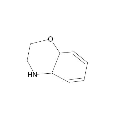 C1=CC2NCCOC2C=C1